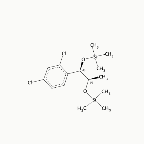 C[C@@H](O[Si](C)(C)C)[C@H](O[Si](C)(C)C)c1ccc(Cl)cc1Cl